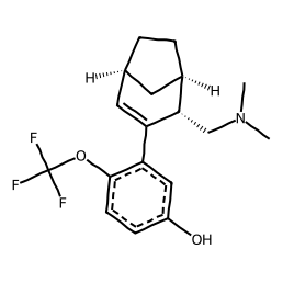 CN(C)C[C@@H]1C(c2cc(O)ccc2OC(F)(F)F)=C[C@H]2CC[C@@H]1C2